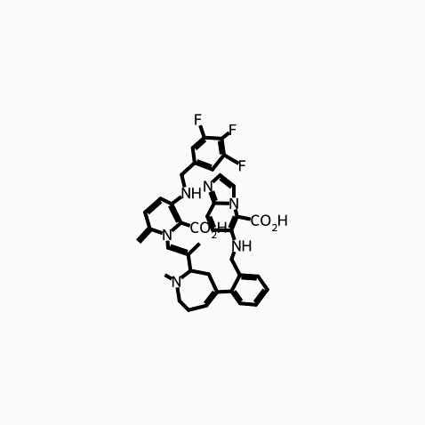 C=C1C=CC(NCc2cc(F)c(F)c(F)c2)=C(C(=O)O)N1/C=C(\C)C1CC(c2ccccc2CNc2ccc3nccn3c2C(=O)O)=CCCN1C